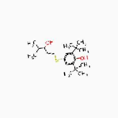 CC(C)C(O)CCSc1cc(C(C)(C)C)c(O)c(C(C)(C)C)c1